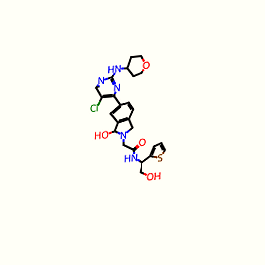 O=C(CN1Cc2ccc(-c3nc(NC4CCOCC4)ncc3Cl)cc2C1O)N[C@H](CO)c1cccs1